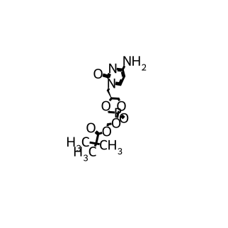 CC(C)(C)C(=O)OCOP1(=O)CO[C@@H](Cn2ccc(N)nc2=O)CO1